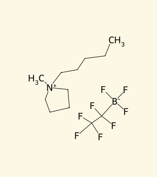 CCCCC[N+]1(C)CCCC1.F[B-](F)(F)C(F)(F)C(F)(F)F